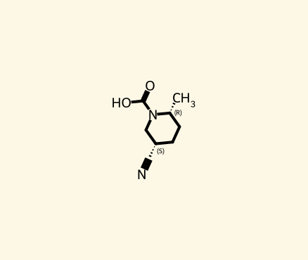 C[C@@H]1CC[C@H](C#N)CN1C(=O)O